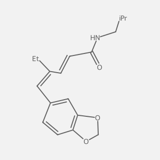 CCC(C=CC(=O)NCC(C)C)=Cc1ccc2c(c1)OCO2